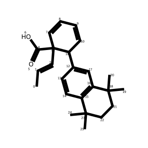 CC=CC1(C(=O)O)C=CC=CC1c1ccc2c(c1)C(C)(C)CCC2(C)C